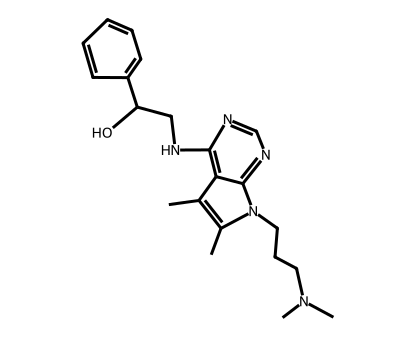 Cc1c(C)n(CCCN(C)C)c2ncnc(NCC(O)c3ccccc3)c12